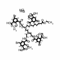 CCOC(=O)CCCCCN(CCN(CCNC(=O)c1cc(Br)cc(C(=O)O)c1OC)CCN(CCNC(=O)c1cc(Br)cc(C(=O)O)c1OC)CCNC(=O)c1cc(Br)cc(C(=O)O)c1OC)C(=O)c1cc(Br)cc(C(=O)O)c1OC.Cl.Cl